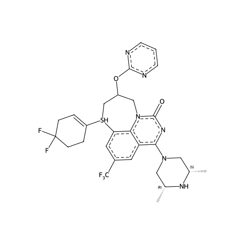 C[C@@H]1CN(c2nc(=O)n3c4c(cc(C(F)(F)F)cc24)[SH](C2=CCC(F)(F)CC2)CC(Oc2ncccn2)C3)C[C@H](C)N1